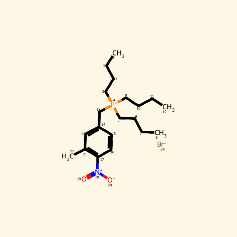 CCCC[P+](CCCC)(CCCC)Cc1ccc([N+](=O)[O-])c(C)c1.[Br-]